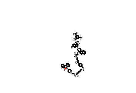 CN(CCCCCC(=O)N(C)CCN1CCC(N(C(=O)O)c2ccccc2-c2ccccc2)CC1)Cc1ccc(C(=O)CCCN(C)C(=O)CO[C@H]2Cc3ccccc3C23CCN(CC[C@@]2(c4ccc(F)cc4)CN(C(=O)c4cc(C(F)(F)F)cc(C(F)(F)F)c4)CO2)CC3)cc1